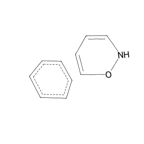 C1=CNOC=C1.c1ccccc1